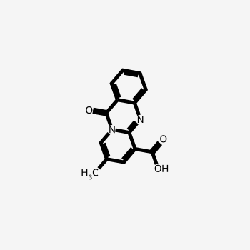 Cc1cc(C(=O)O)c2nc3ccccc3c(=O)n2c1